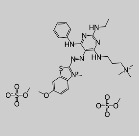 CCNc1nc(NCCC[N+](C)(C)C)c(N=Nc2sc3cc(OC)ccc3[n+]2C)c(Nc2ccccc2)n1.COS(=O)(=O)[O-].COS(=O)(=O)[O-]